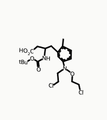 Cc1ccc(N(CCCl)OCCCl)cc1CC(CC(=O)O)NC(=O)OC(C)(C)C